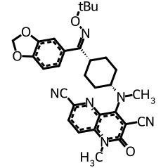 Cn1c(=O)c(C#N)c(N(C)[C@H]2CC[C@@H](/C(=N/OC(C)(C)C)c3ccc4c(c3)OCO4)CC2)c2nc(C#N)ccc21